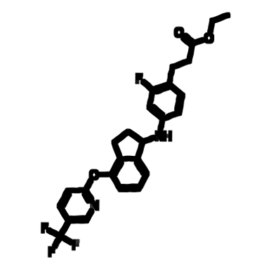 CCOC(=O)CCc1ccc(NC2CCc3c(Oc4ccc(C(F)(F)F)cn4)cccc32)cc1F